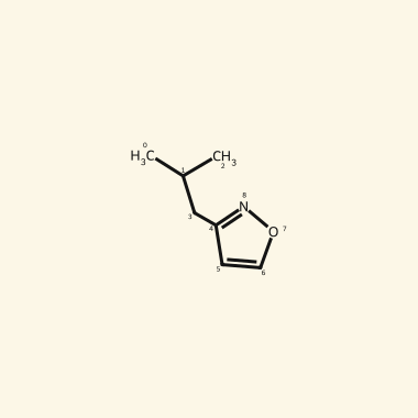 CC(C)Cc1ccon1